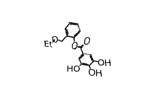 CCOCc1ccccc1OC(=O)c1cc(O)c(O)c(O)c1